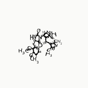 COc1ccnc(CC2NC(=O)N(c3c[nH]nc3Cc3c(C)noc3C)C2=O)c1OC